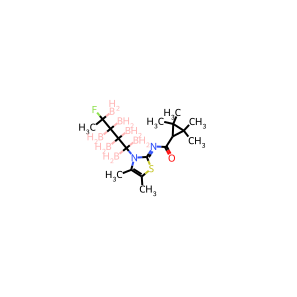 BC(C)(F)C(B)(B)C(B)(B)C(B)(B)n1c(C)c(C)s/c1=N\C(=O)C1C(C)(C)C1(C)C